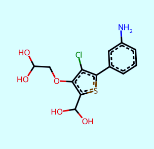 Nc1cccc(-c2sc(C(O)O)c(OCC(O)O)c2Cl)c1